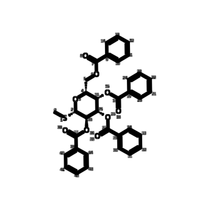 CS[C@@H]1O[C@H](COC(=O)c2ccccc2)[C@H](OC(=O)c2ccccc2)[C@H](OC(=O)c2ccccc2)[C@H]1OC(=O)c1ccccc1